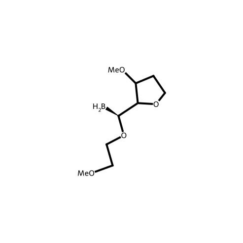 B[C@H](OCCOC)C1OCCC1OC